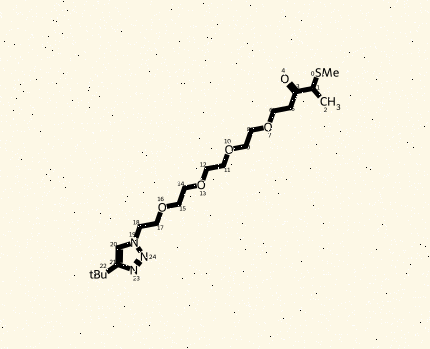 CSC(C)C(=O)CCOCCOCCOCCOCCn1cc(C(C)(C)C)nn1